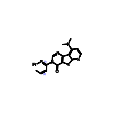 C/C=C\C(=N/C(C)C)n1cnc2c(sc3nccc(N(C)C)c32)c1=O